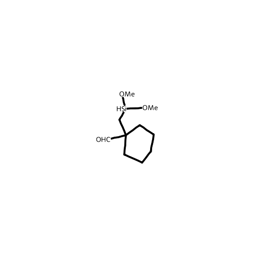 CO[SiH](CC1(C=O)CCCCC1)OC